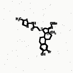 CON=C1C[C@@H](CCC(=O)Nc2ncc(C)s2)C2C3CCc4cc(O)c(Br)cc4C3CC[C@]12C